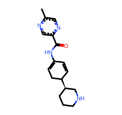 Cc1cnc(C(=O)NC2=CCC([C@@H]3CCCNC3)C=C2)cn1